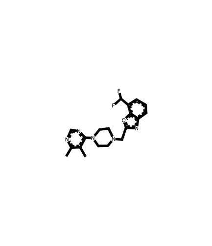 Cc1ncnc(N2CCN(Cc3nc4cccc(C(F)F)c4o3)CC2)c1C